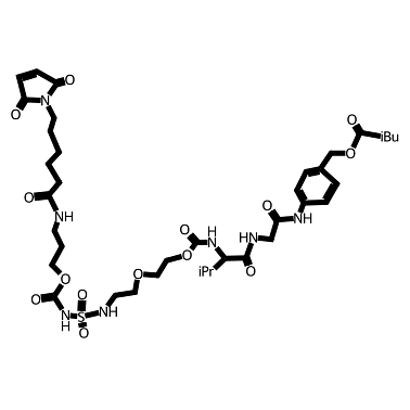 CCC(C)C(=O)OCc1ccc(NC(=O)CNC(=O)C(NC(=O)OCCOCCNS(=O)(=O)NC(=O)OCCCNC(=O)CCCCCN2C(=O)C=CC2=O)C(C)C)cc1